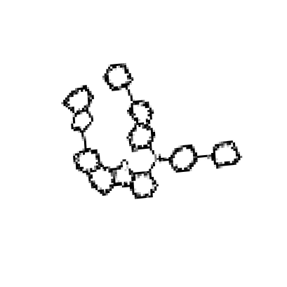 C1=C(c2ccc3ccc4c5cccc(N(c6ccc(-c7ccccc7)cc6)c6ccc7cc(-c8ccccc8)ccc7c6)c5oc4c3c2)Cc2ccccc21